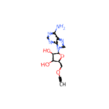 C#COCC1OC(n2cnc3c(N)ncnc32)C(O)C1O